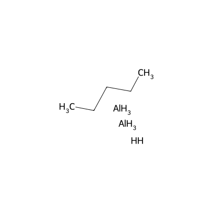 CCCCC.[AlH3].[AlH3].[HH]